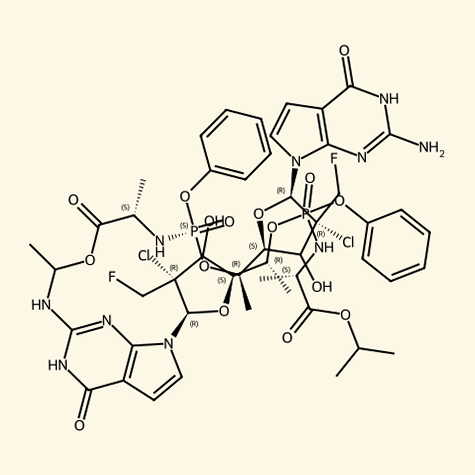 CC(C)OC(=O)[C@H](C)NP(=O)(Oc1ccccc1)O[C@H](C)[C@H]1O[C@@H](n2ccc3c(=O)[nH]c(NC(C)OC(=O)[C@H](C)N[P@@](=O)(Oc4ccccc4)O[C@H](C)[C@H]4O[C@@H](n5ccc6c(=O)[nH]c(N)nc65)[C@@](Cl)(CF)C4O)nc32)[C@@](Cl)(CF)C1O